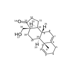 C[C@]12C=CCCC1=CC[C@H]1[C@@H]3CCC(=O)[C@@]3(CO)CC[C@@H]12